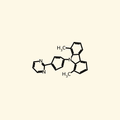 Cc1cccc2c3cccc(C)c3n(-c3ccc(-c4ncccn4)cc3)c12